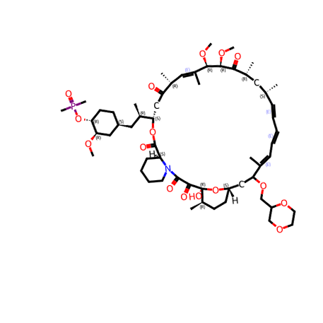 CO[C@@H]1/C(C)=C/[C@@H](C)C(=O)C[C@@H]([C@H](C)C[C@@H]2CC[C@@H](OP(C)(C)=O)[C@H](OC)C2)OC(=O)[C@@H]2CCCCN2C(=O)C(=O)[C@]2(O)O[C@@H](CC[C@H]2C)CC(OCC2COCCO2)/C(C)=C/C=C/C=C/[C@@H](C)C[C@@H](C)C(=O)[C@@H]1OC